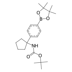 CC(C)(C)OC(=O)NC1(c2ccc(B3OC(C)(C)C(C)(C)O3)cc2)CCCC1